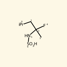 CC(C)CC(C)(F)NS(=O)(=O)O